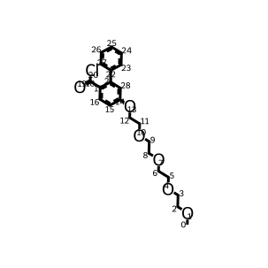 COCCOCCOCCOCCOc1ccc(C(=O)Cl)c(-c2ccccc2)c1